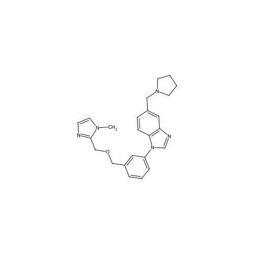 Cn1ccnc1COCc1cccc(-n2cnc3cc(CN4CCCC4)ccc32)c1